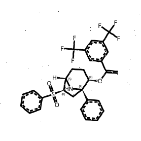 C=C(O[C@@H]1CC[C@@H]2N[C@@]1(c1ccccc1)C[C@H]2S(=O)(=O)c1ccccc1)c1cc(C(F)(F)F)cc(C(F)(F)F)c1